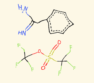 N=C(N)c1ccccc1.O=S(=O)(OC(F)(F)F)C(F)(F)F